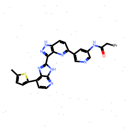 Cc1ccc(-c2ccnc3[nH]c(-c4n[nH]c5ccc(-c6cncc(NC(=O)CC(C)C)c6)nc45)nc23)s1